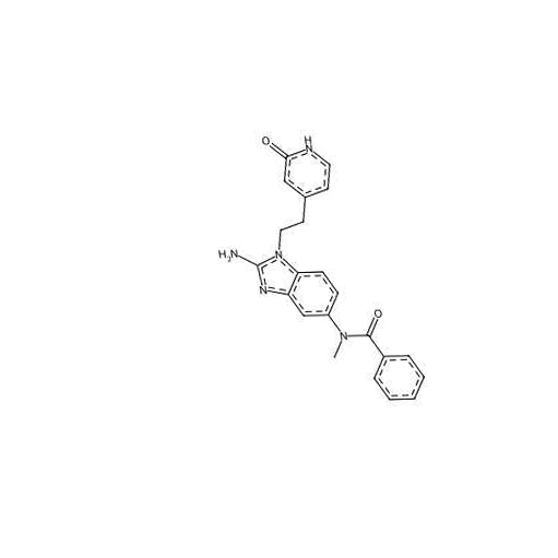 CN(C(=O)c1ccccc1)c1ccc2c(c1)nc(N)n2CCc1cc[nH]c(=O)c1